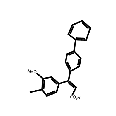 COc1cc(/C(=C\C(=O)O)c2ccc(-c3ccccc3)cc2)ccc1C